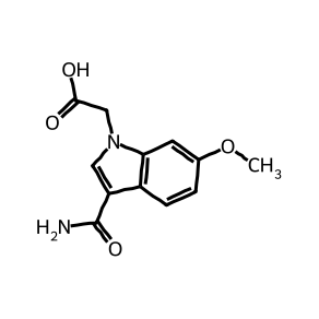 COc1ccc2c(C(N)=O)cn(CC(=O)O)c2c1